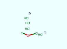 Cl.Cl.Cl.Cl.ClOCl.[Ti].[Zr]